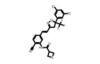 N#Cc1ccc(/C=C/C2=NOC(c3cc(Cl)cc(Cl)c3)(C(F)(F)F)C2)cc1NC(=O)C1CSC1